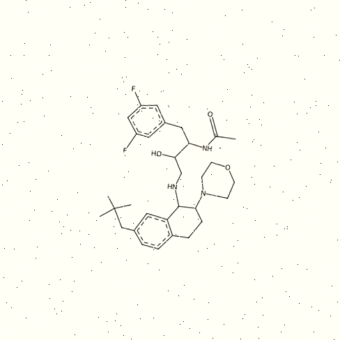 CC(=O)NC(Cc1cc(F)cc(F)c1)C(O)CNC1c2cc(CC(C)(C)C)ccc2CCC1N1CCOCC1